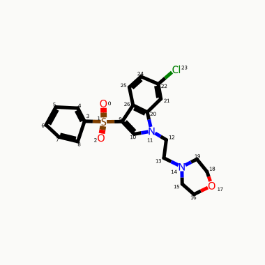 O=S(=O)(c1ccccc1)c1cn(CCN2CCOCC2)c2cc(Cl)ccc12